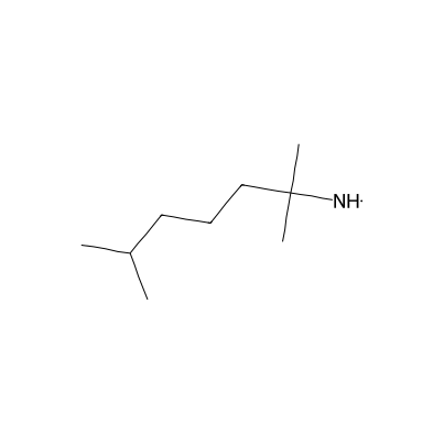 CC(C)CCCC(C)(C)[NH]